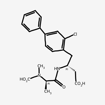 C[C@H](C(=O)N[C@@H](CC(=O)O)Cc1ccc(-c2ccccc2)cc1Cl)N(C)C(=O)O